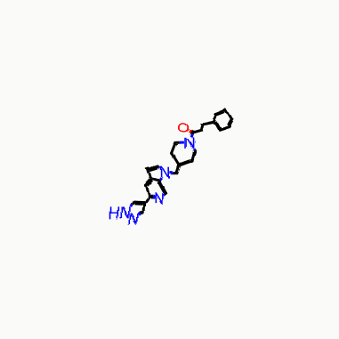 O=C(CCc1ccccc1)N1CCC(Cn2ccc3cc(-c4cn[nH]c4)ncc32)CC1